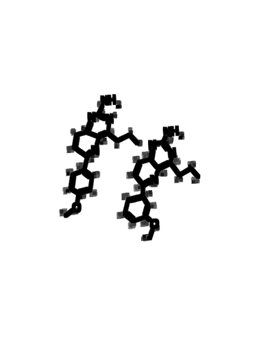 CCCc1nc(N)nc2ccc(-c3ccc(OC)cc3)nc12.CCCc1nc(N)nc2ccc(-c3cccc(OC)c3)nc12